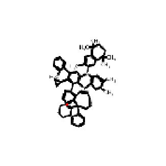 Cc1cc2c(cc1C)N(c1cc3c(cc1C)C(C)(C)CCC3(C)C)c1cc(-c3ccccc3C)c(C3CC3)c(-c3cccc4c3/C=C\C=C/CC4(C3=CCCCC3)c3ccccc3)c1B2